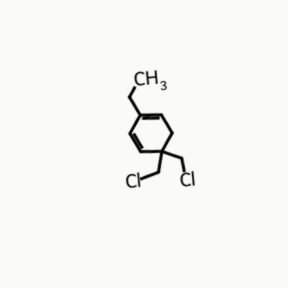 CCC1=CCC(CCl)(CCl)C=C1